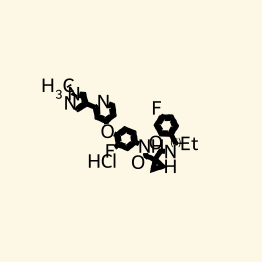 CC[C@H](NC(=O)C1(C(=O)Nc2ccc(Oc3ccnc(-c4cnn(C)c4)c3)c(F)c2)CC1)c1ccc(F)cc1.Cl